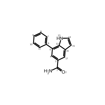 NC(=O)c1cc(-c2ccccc2)c2[nH]ccc2c1